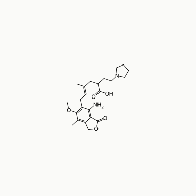 COc1c(C)c2c(c(N)c1C/C=C(\C)CC(CCN1CCCC1)C(=O)O)C(=O)OC2